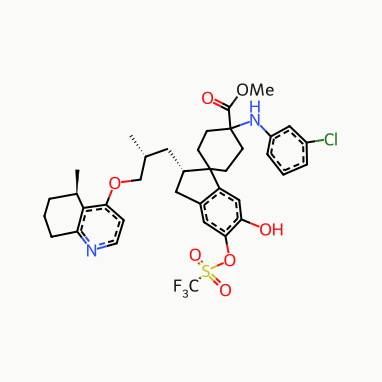 COC(=O)C1(Nc2cccc(Cl)c2)CCC2(CC1)c1cc(O)c(OS(=O)(=O)C(F)(F)F)cc1C[C@@H]2C[C@@H](C)COc1ccnc2c1[C@H](C)CCC2